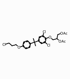 CC(=O)OCC(COc1c(Cl)cc(C(C)(C)c2ccc(OCCCCl)cc2)cc1Cl)OC(C)=O